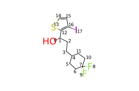 OC(CCC1CCC(F)(F)CC1)c1sccc1I